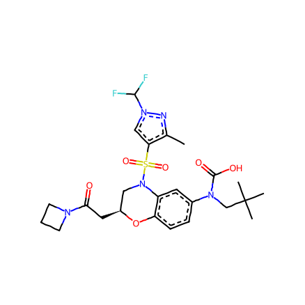 Cc1nn(C(F)F)cc1S(=O)(=O)N1C[C@H](CC(=O)N2CCC2)Oc2ccc(N(CC(C)(C)C)C(=O)O)cc21